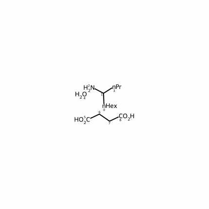 CCCCCCC(N)CCC.O.O=C(O)CCC(=O)O